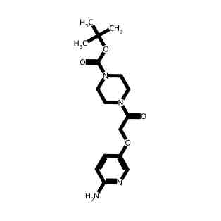 CC(C)(C)OC(=O)N1CCN(C(=O)COc2ccc(N)nc2)CC1